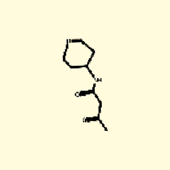 CC(=O)CC(=O)NC1CCOCC1